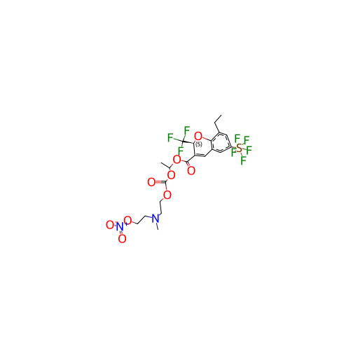 CCc1cc(S(F)(F)(F)(F)F)cc2c1O[C@H](C(F)(F)F)C(C(=O)OC(C)OC(=O)OCCN(C)CCO[N+](=O)[O-])=C2